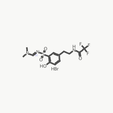 Br.CN(C)/C=N/S(=O)(=O)c1cc(CCNC(=O)C(F)(F)F)ccc1O